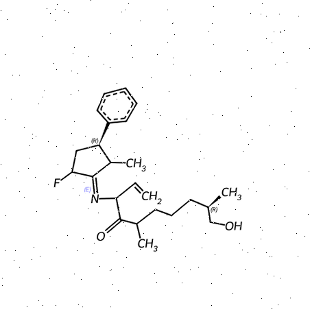 C=CC(/N=C1/C(F)C[C@@H](c2ccccc2)C1C)C(=O)C(C)CCC[C@@H](C)CO